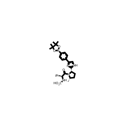 CC(C)[C@H](NC(=O)O)C(=O)N1[C@@H](C)CC[C@H]1c1nc(-c2ccc(B3OC(C)(C)C(C)(C)O3)cc2)c[nH]1